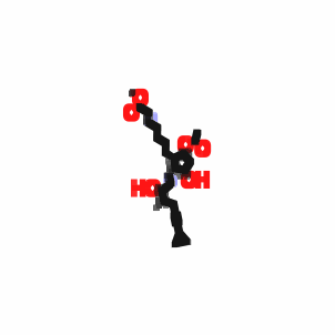 COC(=O)/C=C/CCCC[C@@H]1[C@@H](/C=C/[C@@H](O)[C@@H](C)CC#CC2CC2)[C@H](O)C[C@@H]1OC(C)=O